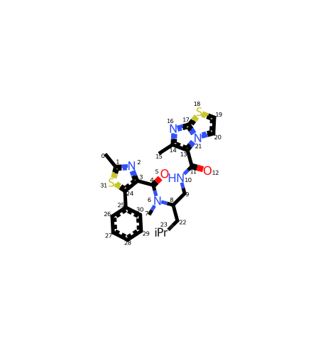 Cc1nc(C(=O)N(C)C(CNC(=O)c2c(C)nc3sccn23)CC(C)C)c(-c2ccccc2)s1